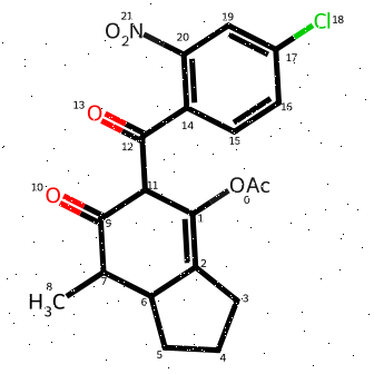 CC(=O)OC1=C2CCCC2C(C)C(=O)C1C(=O)c1ccc(Cl)cc1[N+](=O)[O-]